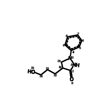 O=C1NN(c2ccccc2)CC1CCCO